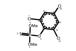 COP(=S)(OC)Oc1c(Cl)cc(Cl)cc1Cl